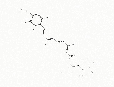 COc1cc(C)c(C=CC(C)=CC=CC(C)=CC(=O)O[C@@H](C=O)[C@H](O)[C@@H](O)[C@H](C)O)c(C)c1C